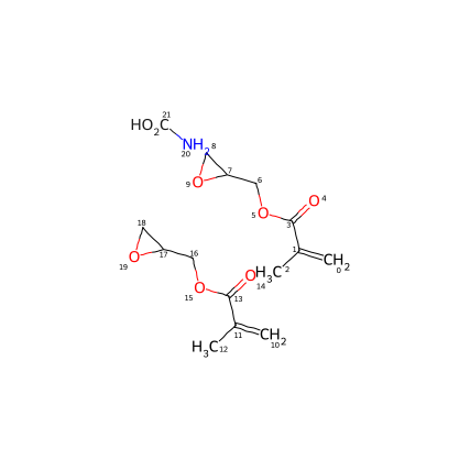 C=C(C)C(=O)OCC1CO1.C=C(C)C(=O)OCC1CO1.NC(=O)O